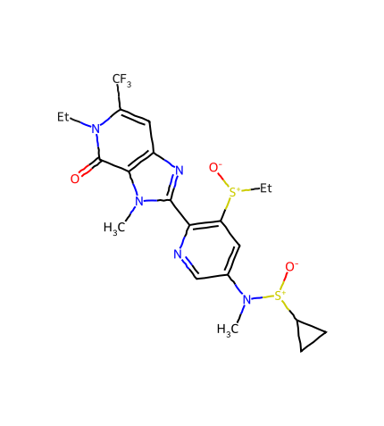 CCn1c(C(F)(F)F)cc2nc(-c3ncc(N(C)[S+]([O-])C4CC4)cc3[S+]([O-])CC)n(C)c2c1=O